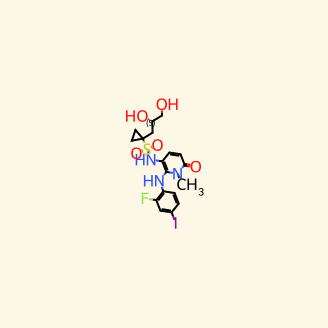 Cn1c(Nc2ccc(I)cc2F)c(NS(=O)(=O)C2(C[C@H](O)CO)CC2)ccc1=O